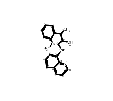 COc1ccccc1C(C)C(O)CNc1cccc2cccnc12